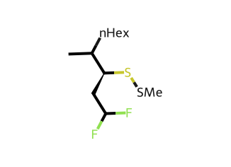 CCCCCCC(C)[C@H](CC(F)F)SSC